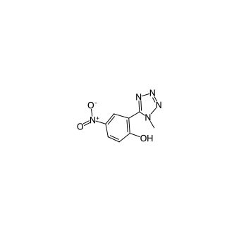 Cn1nnnc1-c1cc([N+](=O)[O-])ccc1O